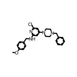 COc1ccc(CNc2cc(N3CCN(Cc4ccccc4)CC3)cc(Cl)n2)cc1